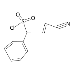 N#CC=CC(c1ccccc1)S(=O)(=O)Cl